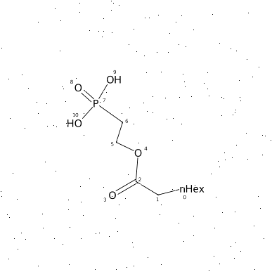 CCCCCCCC(=O)OCCP(=O)(O)O